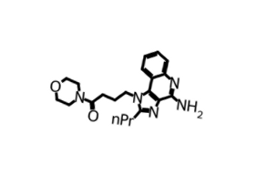 CCCc1nc2c(N)nc3ccccc3c2n1CCCC(=O)N1CCOCC1